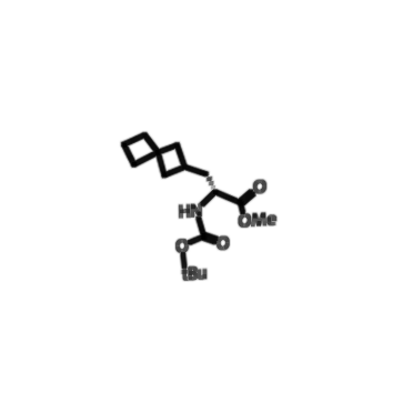 COC(=O)[C@@H](CC1CC2(CCC2)C1)NC(=O)OC(C)(C)C